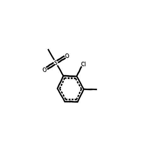 Cc1cccc(S(C)(=O)=O)c1Cl